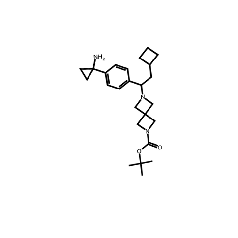 CC(C)(C)OC(=O)N1CC2(C1)CN(C(CC1CCC1)c1ccc(C3(N)CC3)cc1)C2